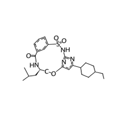 CCC1CCC(c2cc3nc(n2)NS(=O)(=O)c2cccc(c2)C(=O)N[C@H](CC(C)C)CO3)CC1